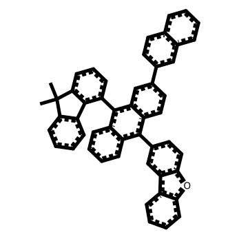 CC1(C)c2ccccc2-c2c(-c3c4ccccc4c(-c4ccc5oc6ccccc6c5c4)c4ccc(-c5ccc6ccccc6c5)cc34)cccc21